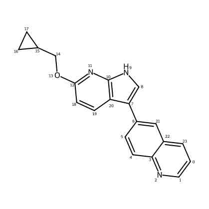 c1cnc2ccc(-c3c[nH]c4nc(OCC5CC5)ccc34)cc2c1